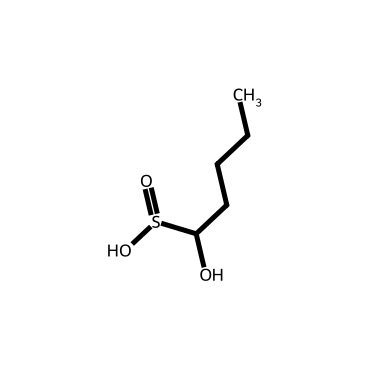 CCCCC(O)S(=O)O